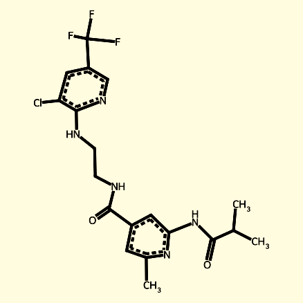 Cc1cc(C(=O)NCCNc2ncc(C(F)(F)F)cc2Cl)cc(NC(=O)C(C)C)n1